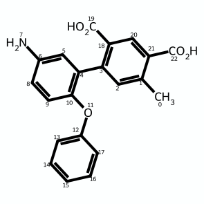 Cc1cc(-c2cc(N)ccc2Oc2ccccc2)c(C(=O)O)cc1C(=O)O